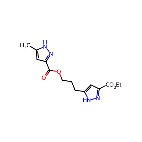 CCOC(=O)c1cc(CCCOC(=O)c2cc(C)[nH]n2)[nH]n1